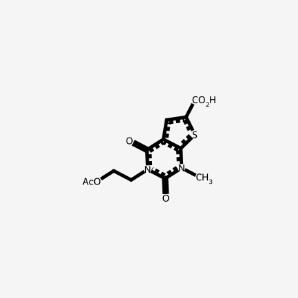 CC(=O)OCCn1c(=O)c2cc(C(=O)O)sc2n(C)c1=O